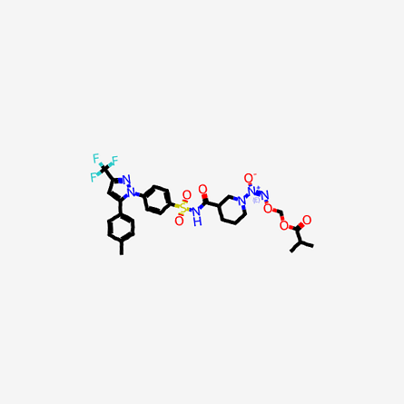 Cc1ccc(-c2cc(C(F)(F)F)nn2-c2ccc(S(=O)(=O)NC(=O)C3CCCN(/[N+]([O-])=N\OCOC(=O)C(C)C)C3)cc2)cc1